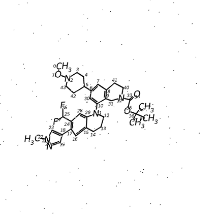 CON1CCC(c2cc3c(c(N4CCCc5cc(-c6cnn(C)c6)c(C(F)F)cc54)c2)CN(C(=O)OC(C)(C)C)CC3)CC1